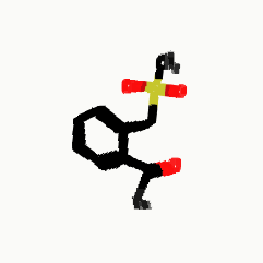 CCC(=O)c1ccccc1CS(C)(=O)=O